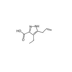 C=CCc1[nH]nc(C(=O)O)c1CC